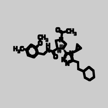 COc1cc(C)ccc1CNC(=O)[C@H]1CN(C(C)=O)C[C@@H]1c1nnc(CCC2CCCCC2)n1C1CC1